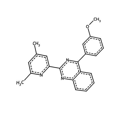 COc1cccc(-c2nc(-c3cc(C)cc(C)n3)nc3ccccc23)c1